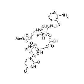 COSP1(=O)OC[C@H]2O[C@@H](n3cnc4c(N)ncnc43)[C@H](OP(=O)(O)OC[C@H]3O[C@@H](n4ccc(=O)[nH]c4=O)[C@H](F)[C@@H]3O1)[C@@H]2F